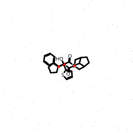 O=C(OCc1ccccc1)N1CC2CCC(C1)C2OC(=O)C(O)(c1cccs1)C1CCCC1